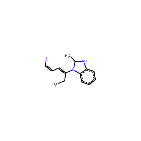 CC/C(=C\C=C/I)N1c2ccccc2NC1C